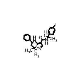 CC(C)(NC(=O)c1cnn2c1NC(c1ccccc1)CC2(C)C)c1ccc(I)cc1